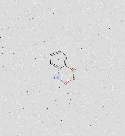 c1ccc2ooo[nH]c2c1